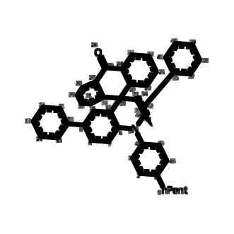 CCCCCc1ccc(N2c3ccc(-c4ccccc4)cc3C3(c4ccccc4C(=O)c4ccccc43)c3cc(-c4ccccc4)ccc32)cc1